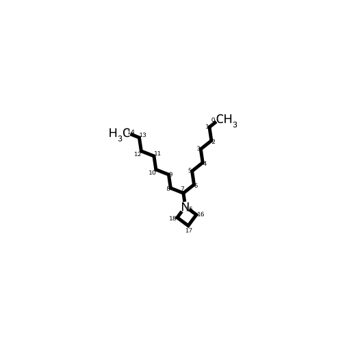 CCCCCCCC(CCCCCCC)N1CCC1